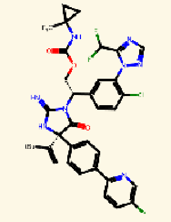 C=C(C(C)(C)C)[C@]1(c2ccc(-c3ccc(F)cn3)cc2)NC(=N)N([C@H](COC(=O)NC2(C(F)(F)F)CC2)c2ccc(Cl)c(-n3ncnc3C(F)F)c2)C1=O